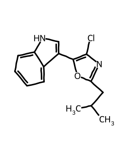 CC(C)Cc1nc(Cl)c(-c2c[nH]c3ccccc23)o1